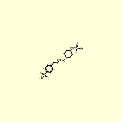 CC(C)S(=O)(=O)N[C@H]1CC[C@H](CNCCc2ccc(S(N)(=O)=O)cc2)CC1